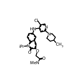 CNC(=O)COc1cc2cc(Nc3cc(N4CCC(C)CC4)ncc3Cl)ccc2n(C(C)C)c1=O